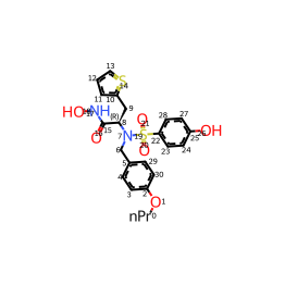 CCCOc1ccc(CN([C@H](Cc2cccs2)C(=O)NO)S(=O)(=O)c2ccc(O)cc2)cc1